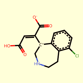 O=C(O)/C=C(/C(=O)[O-])[C+]1CNCCc2c(Cl)cccc21